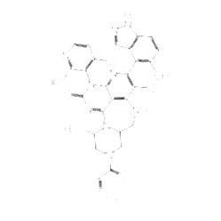 C=CC(=O)N1CC(C)N2c3nc(=O)n(-c4c(C)ccnc4C(C)C)c4nc(-c5c(C)ccc6[nH]ncc56)c(Cl)c(c34)NCC2C1